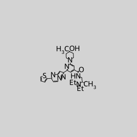 CCN(CC)C(C)CNC(=O)c1cc(-c2cc3nc(-c4cccs4)ccn3n2)nc(N2CCC(C)(O)CC2)c1